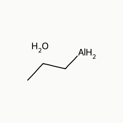 CC[CH2][AlH2].O